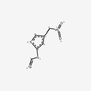 O=COc1cc(C[SH](=O)=O)cs1